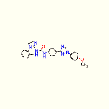 Cc1ccccc1-n1ccnc1NC(=O)Nc1ccc(-c2ncn(-c3ccc(OC(F)(F)F)cc3)n2)cc1